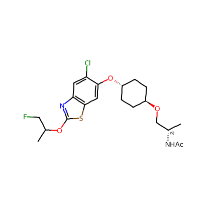 CC(=O)N[C@@H](C)CO[C@H]1CC[C@H](Oc2cc3sc(OC(C)CF)nc3cc2Cl)CC1